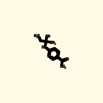 CCC(C)(O)Nc1ccc(C(N)=O)nn1